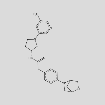 O=C(Cc1ccc(N2CC3CC2CO3)cc1)N[C@@H]1CCN(c2cncc(C(F)(F)F)c2)C1